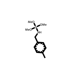 CO[Si](NCc1ccc(C)cc1)(OC)OC